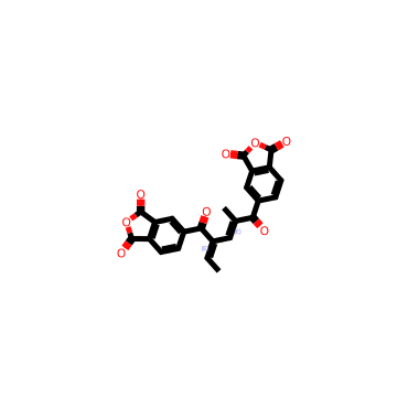 C/C=C(\C=C(/C)C(=O)c1ccc2c(c1)C(=O)OC2=O)C(=O)c1ccc2c(c1)C(=O)OC2=O